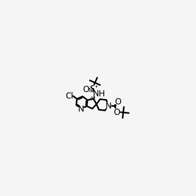 CC(C)(C)OC(=O)N1CCC2(CC1)Cc1ncc(Cl)cc1[C@H]2N[S@+]([O-])C(C)(C)C